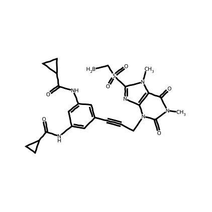 BCS(=O)(=O)c1nc2c(c(=O)n(C)c(=O)n2CC#Cc2cc(NC(=O)C3CC3)cc(NC(=O)C3CC3)c2)n1C